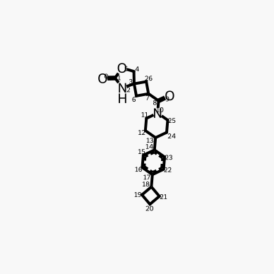 O=C1NC2(CO1)CC(C(=O)N1CCC(c3ccc(C4CCC4)cc3)CC1)C2